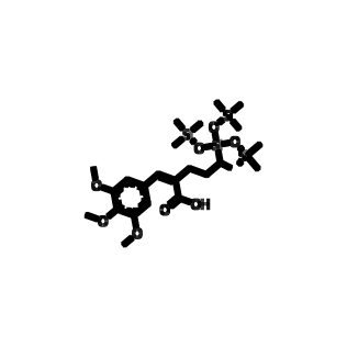 COc1cc(C=C(CCC(C)[Si](O[Si](C)(C)C)(O[Si](C)(C)C)O[Si](C)(C)C)C(=O)O)cc(OC)c1OC